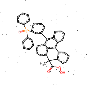 CC1(C(=O)OO)c2ccccc2-c2c3ccccc3c(-c3cccc(P(=O)(c4ccccc4)c4ccccc4)c3)c3cccc1c23